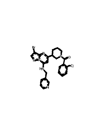 O=C(c1ccccc1Cl)N1CCCC(c2cc(NCc3cccnc3)n3ncc(Br)c3n2)C1